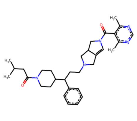 Cc1ncnc(C)c1C(=O)N1C=C2CN(CCC(c3ccccc3)C3CCN(C(=O)CC(C)C)CC3)CC2C1